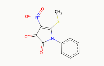 CSC1=C([N+](=O)[O-])C(=O)C(=O)N1c1ccccc1